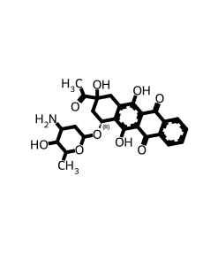 CC(=O)C1(O)Cc2c(O)c3c(c(O)c2[C@H](OC2CC(N)C(O)C(C)O2)C1)C(=O)c1ccccc1C3=O